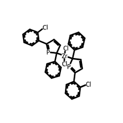 Clc1ccccc1C1=P[C](c2ccccc2)([Zr]([Cl])([Cl])[C]2(c3ccccc3)C=CC(c3ccccc3Cl)=P2)C=C1